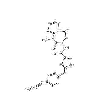 CN1C(=O)[C@@H](NC(=O)c2n[nH]c(Cc3ccc(C#CC(=O)O)cc3)n2)COc2ccccc21